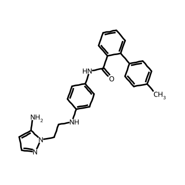 Cc1ccc(-c2ccccc2C(=O)Nc2ccc(NCCn3nccc3N)cc2)cc1